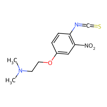 CN(C)CCOc1ccc(N=C=S)c([N+](=O)[O-])c1